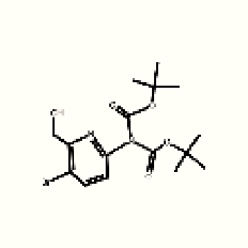 CC(C)(C)OC(=O)N(C(=O)OC(C)(C)C)c1ccc(Br)c(CO)n1